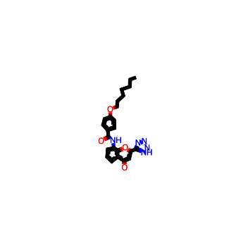 CCCCCCCOc1ccc(C(=O)Nc2cccc3c(=O)cc(-c4nnn[nH]4)oc23)cc1